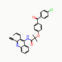 C#Cc1nc2ccccc2c(NC(=O)C(C)(C)Oc2ccc(C(=O)c3ccc(Cl)cc3)cc2)c1/C=C\C